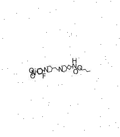 CCCCOC(=O)NC1CC2(CCN(CCC3CCN(c4ccc([N+](=O)[O-])cc4F)CC3)CC2)C1